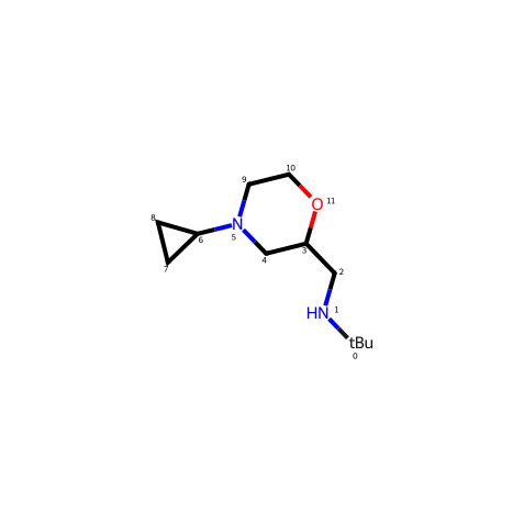 CC(C)(C)NCC1CN(C2CC2)CCO1